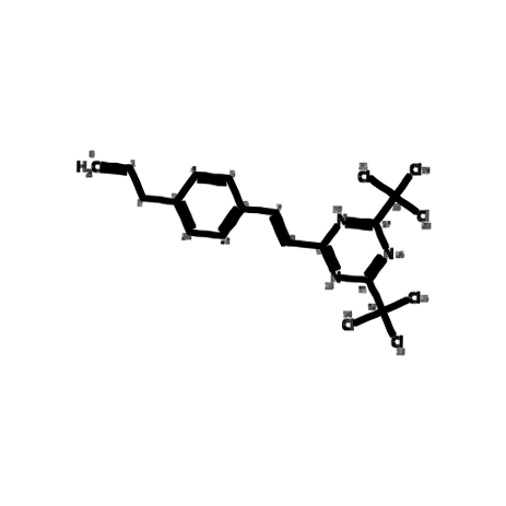 C=CCc1ccc(C=Cc2nc(C(Cl)(Cl)Cl)nc(C(Cl)(Cl)Cl)n2)cc1